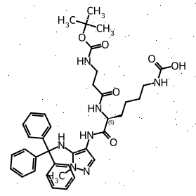 Cn1ncc(NC(=O)[C@H](CCCCNC(=O)O)NC(=O)CCNC(=O)OC(C)(C)C)c1NC(c1ccccc1)(c1ccccc1)c1ccccc1